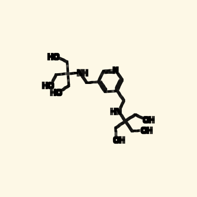 OCC(CO)(CO)NCc1cncc(CNC(CO)(CO)CO)c1